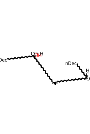 CCCCCCCCCCCCCCCCCCCCCCCC[C@@H](C(=O)O)[C@H](O)CCCCCCCCCCCCCCCCC[C@@H]1C[C@@H]1CCCCCCCCCCCCCCCC[C@H](OC)[C@H](C)CCCCCCCCCCCCCCCCCC